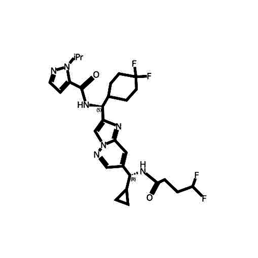 CC(C)n1nccc1C(=O)N[C@H](c1cn2ncc([C@H](NC(=O)CCC(F)F)C3CC3)cc2n1)C1CCC(F)(F)CC1